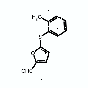 Cc1ccccc1Sc1ccc(C=O)o1